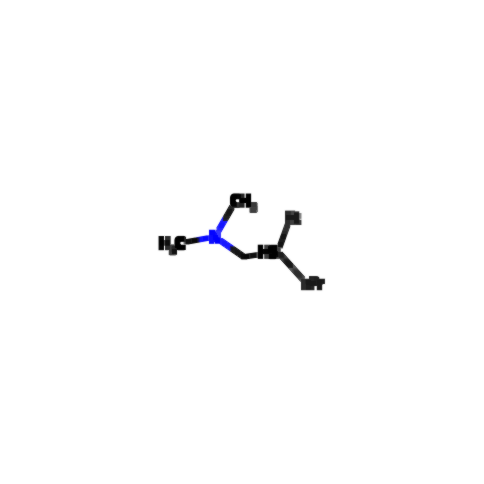 CCC[SiH](CC)CN(C)C